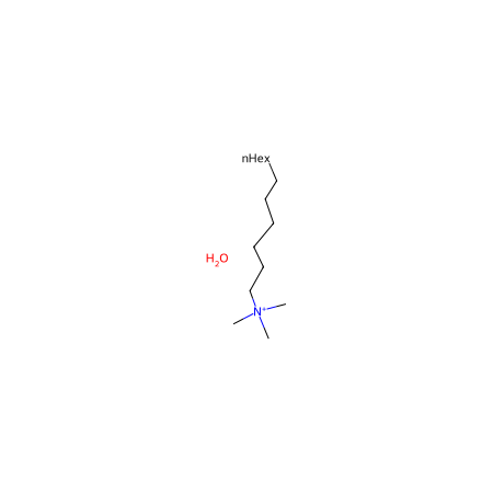 CCCCCCCCCCCC[N+](C)(C)C.O